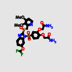 COc1ccnc(C[S+]([O-])c2nc3ccc(OC(F)F)cc3n2S(=O)(=O)c2ccc(OCC(N)=O)c(OCC(N)=O)c2)c1OC